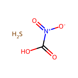 O=C(O)[N+](=O)[O-].S